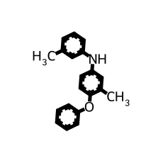 Cc1cccc(Nc2ccc(Oc3ccccc3)c(C)c2)c1